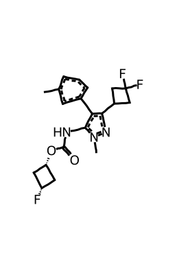 Cc1cccc(-c2c(C3CC(F)(F)C3)nn(C)c2NC(=O)O[C@H]2C[C@@H](F)C2)c1